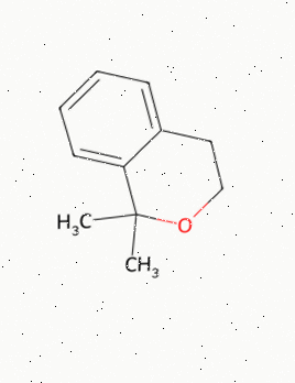 CC1(C)OCCc2ccccc21